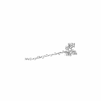 COCCOCCOCCOCCOCCOCCOCCOCCOCCOC1C(OO)C(OP(=O)(O)O)C(C)C(OP(=O)(O)O)C1OP(=O)(O)O